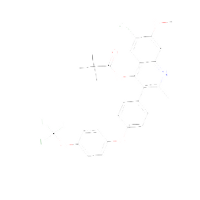 COc1cc2nc(C)c(-c3ccc(Oc4ccc(OC(F)(F)F)cc4)cc3)c(OC(=O)C(C)(C)C)c2cc1Cl